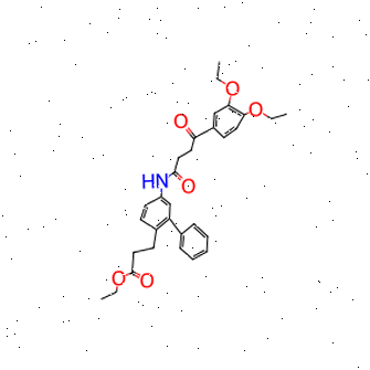 CCOC(=O)CCc1ccc(NC(=O)CCC(=O)c2ccc(OCC)c(OCC)c2)cc1-c1ccccc1